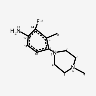 Cc1c(N2CCN(C)CC2)ccc(N)c1F